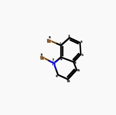 Brc1cccc2c1N(Br)CC=C2